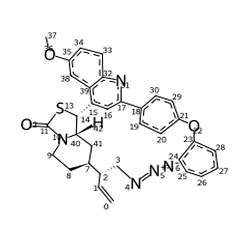 C=C[C@@H](CN=[N+]=[N-])[C@H]1CCN2C(=O)S[C@H](c3cc(-c4ccc(Oc5ccccc5)cc4)nc4ccc(OC)cc34)[C@@H]2C1